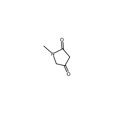 CN1CC(=O)CC1=O